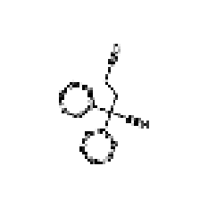 N#CCCC(C#N)(c1ccccc1)c1ccccc1